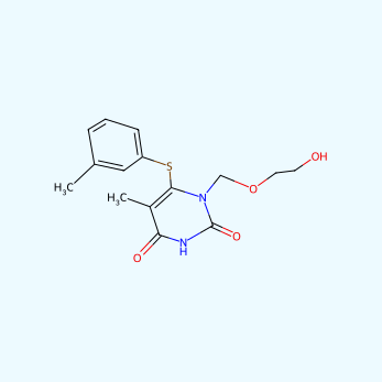 Cc1cccc(Sc2c(C)c(=O)[nH]c(=O)n2COCCO)c1